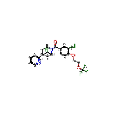 O=C(c1ccc(OCCOC(F)(F)F)c(Cl)c1)N1CCC2(c3ccccn3)CC1C2(F)F